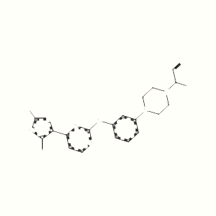 Cc1nc(C)c(-c2ccnc(Nc3cccc(N4CCN(C(C)C=O)CC4)c3)n2)s1